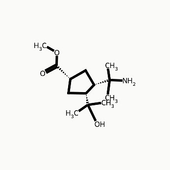 COC(=O)[C@H]1C[C@@H](C(C)(C)O)[C@@H](C(C)(C)N)C1